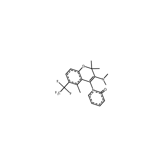 Cc1c(C(F)(F)C(F)(F)F)ccc2c1C(n1ccccc1=O)=C(N(C)C)C(C)(C)O2